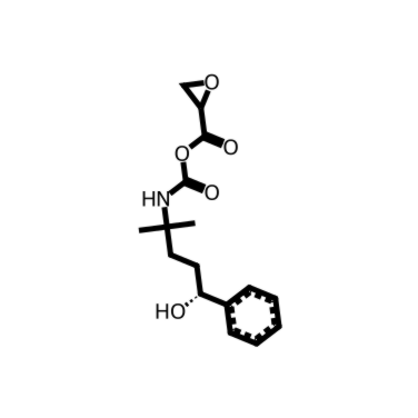 CC(C)(CC[C@@H](O)c1ccccc1)NC(=O)OC(=O)C1CO1